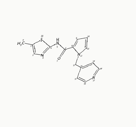 Cc1cnc(NC(=O)c2cccn2Cc2ccncc2)s1